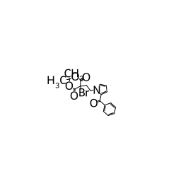 CC1(C)OC(=O)C(Br)(CCn2cccc2C(=O)c2ccccc2)C(=O)O1